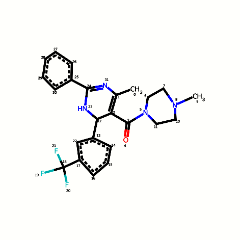 CC1=C(C(=O)N2CCN(C)CC2)C(c2cccc(C(F)(F)F)c2)NC(c2ccccc2)=N1